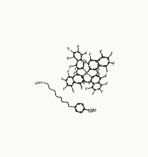 CCCCCCCCCCCCCCCCCCc1ccc([NH2+]C)cc1.Fc1c(F)c(F)c2c(F)c([B-](c3c(F)c(F)c4c(F)c(F)c(F)c(F)c4c3F)(c3c(F)c(F)c4c(F)c(F)c(F)c(F)c4c3F)c3c(F)c(F)c4c(F)c(F)c(F)c(F)c4c3F)c(F)c(F)c2c1F